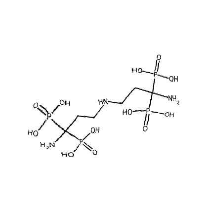 NC(CCNCCC(N)(P(=O)(O)O)P(=O)(O)O)(P(=O)(O)O)P(=O)(O)O